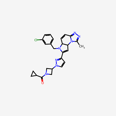 Cc1nnc2n1C1C=C(c3ccn(C4CN(C(=O)C5CC5)C4)n3)N(Cc3cccc(Cl)c3)C1C=C2